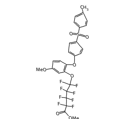 COC(=O)C(F)(F)C(F)(F)C(F)(F)C(F)(F)Oc1cc(OC)ccc1Oc1ccc(S(=O)(=O)c2ccc(C)cc2)cc1